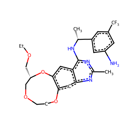 CCOC[C@H]1COCCOc2cc3nc(C)nc(N[C@H](C)c4cc(N)cc(C(F)(F)F)c4)c3cc2O1